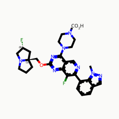 Cn1ncc2cccc(-c3ncc4c(N5CCN(C(=O)O)CC5)nc(OC[C@@]56CCCN5C[C@H](F)C6)nc4c3F)c21